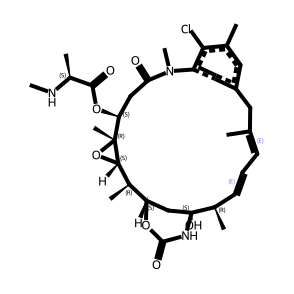 CN[C@@H](C)C(=O)O[C@H]1CC(=O)N(C)c2cc(cc(C)c2Cl)C/C(C)=C/C=C/[C@@H](C)[C@@]2(O)C[C@H](OC(=O)N2)[C@@H](C)[C@@H]2O[C@]12C